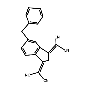 N#CC(C#N)=C1CC(=C(C#N)C#N)c2cc(Cc3ccccc3)ccc21